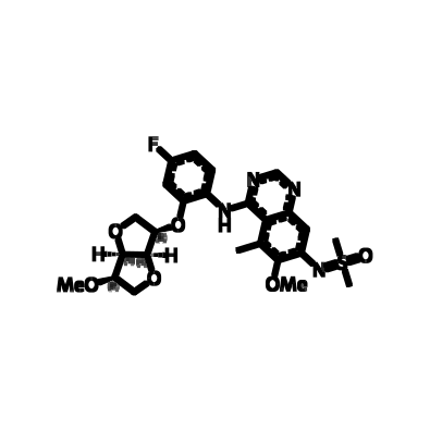 COc1c(N=S(C)(C)=O)cc2ncnc(Nc3ccc(F)cc3O[C@@H]3CO[C@H]4[C@@H]3OC[C@H]4OC)c2c1C